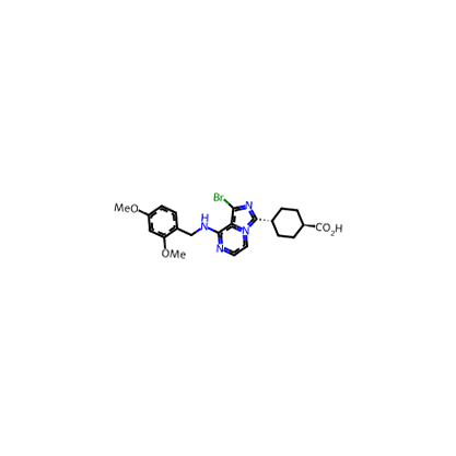 COc1ccc(CNc2nccn3c2c(Br)nc3[C@H]2CC[C@H](C(=O)O)CC2)c(OC)c1